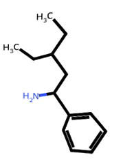 CCC(CC)CC(N)c1ccccc1